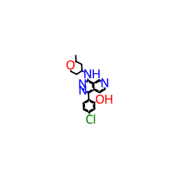 CC1CC(Nc2nnc(-c3ccc(Cl)cc3O)c3ccncc23)CCO1